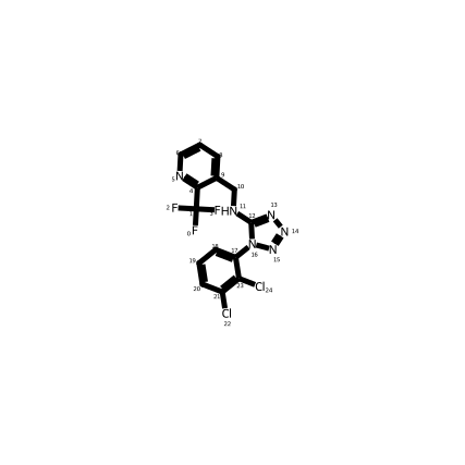 FC(F)(F)c1ncccc1CNc1nnnn1-c1cccc(Cl)c1Cl